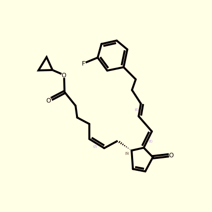 O=C(CCC/C=C\C[C@H]1C=CC(=O)/C1=C/C=C/CCc1cccc(F)c1)OC1CC1